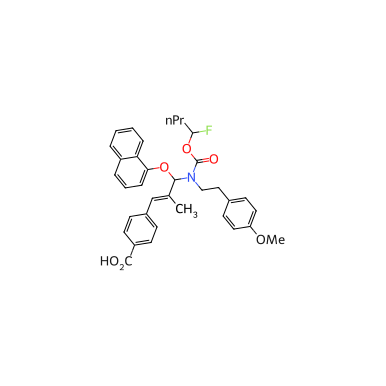 CCCC(F)OC(=O)N(CCc1ccc(OC)cc1)C(Oc1cccc2ccccc12)C(C)=Cc1ccc(C(=O)O)cc1